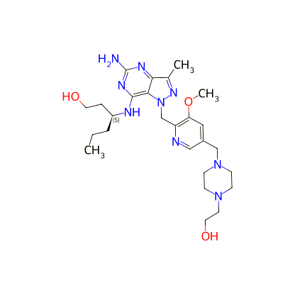 CCC[C@@H](CCO)Nc1nc(N)nc2c(C)nn(Cc3ncc(CN4CCN(CCO)CC4)cc3OC)c12